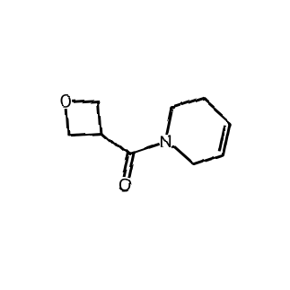 O=C(C1COC1)N1CC=CCC1